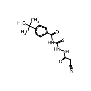 CC(C)(C)c1ccc(C(=O)NC(=S)NNC(=O)CC#N)cc1